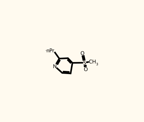 CC[CH]c1cc(S(C)(=O)=O)ccn1